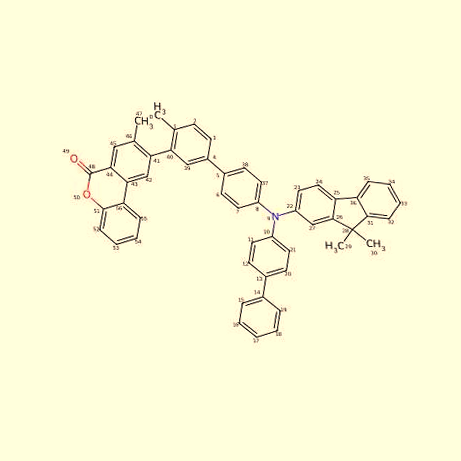 Cc1ccc(-c2ccc(N(c3ccc(-c4ccccc4)cc3)c3ccc4c(c3)C(C)(C)c3ccccc3-4)cc2)cc1-c1cc2c(cc1C)c(=O)oc1ccccc12